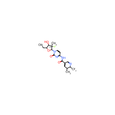 CC1C=C(C(=O)Nc2ccn(C3OC(CN=O)C(O)[C@]3(C)F)c(=O)n2)C=NC1C(F)(F)F